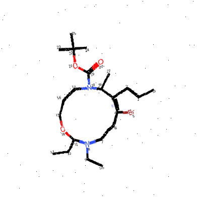 CCC/C1=C(\Br)CCN(CC)C(CC)OCCCN(C(=O)OC(C)(C)C)C1C